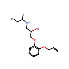 C=CCOc1ccccc1OCC(O)CNC(C)CC(C)C